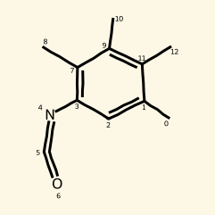 Cc1cc(N=C=O)c(C)c(C)c1C